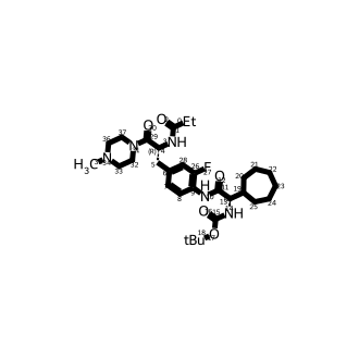 CCC(=O)N[C@H](Cc1ccc(NC(=O)[C@@H](NC(=O)OC(C)(C)C)C2CCCCCC2)c(F)c1)C(=O)N1CCN(C)CC1